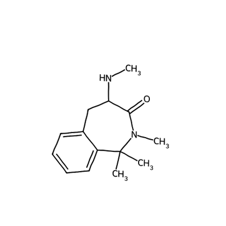 CNC1Cc2ccccc2C(C)(C)N(C)C1=O